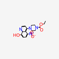 CCOC(=O)N1CCN(c2ccnc3c(O)ccc([N+](=O)[O-])c23)CC1